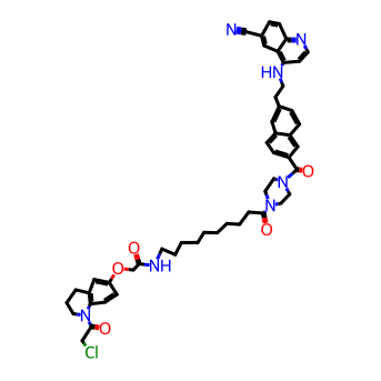 N#Cc1ccc2nccc(NCCc3ccc4cc(C(=O)N5CCN(C(=O)CCCCCCCCCNC(=O)COc6ccc7c(c6)CCCN7C(=O)CCl)CC5)ccc4c3)c2c1